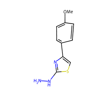 COc1ccc(-c2csc(NN)n2)cc1